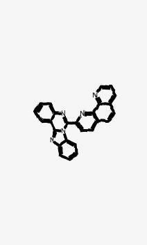 c1cnc2c(c1)ccc1ccc(-c3nc4ccccc4c4nc5ccccc5n34)nc12